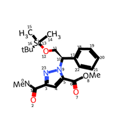 CNC(=O)c1cc(C(=O)OC)n([C@@H](CO[Si](C)(C)C(C)(C)C)c2ccccc2)n1